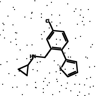 Clc1ccc(-c2cccs2)c(CNC2CC2)c1